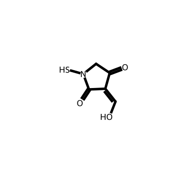 O=C1CN(S)C(=O)/C1=C\O